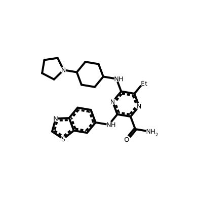 CCc1nc(C(N)=O)c(Nc2ccc3ncsc3c2)nc1NC1CCC(N2CCCC2)CC1